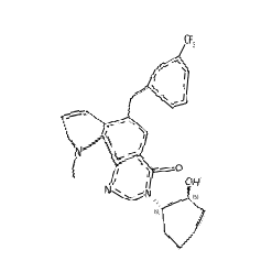 CN1CC=Cc2c(Cc3cccc(C(F)(F)F)c3)cc3c(=O)n([C@H]4CCCC[C@@H]4O)cnc3c21